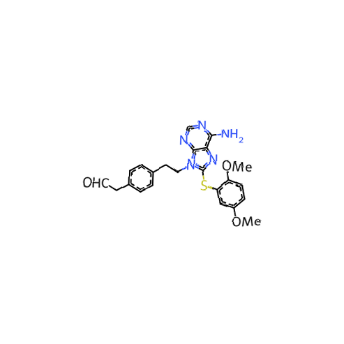 COc1ccc(OC)c(Sc2nc3c(N)ncnc3n2CCc2ccc(CC=O)cc2)c1